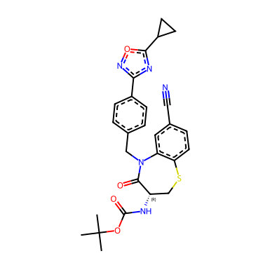 CC(C)(C)OC(=O)N[C@H]1CSc2ccc(C#N)cc2N(Cc2ccc(-c3noc(C4CC4)n3)cc2)C1=O